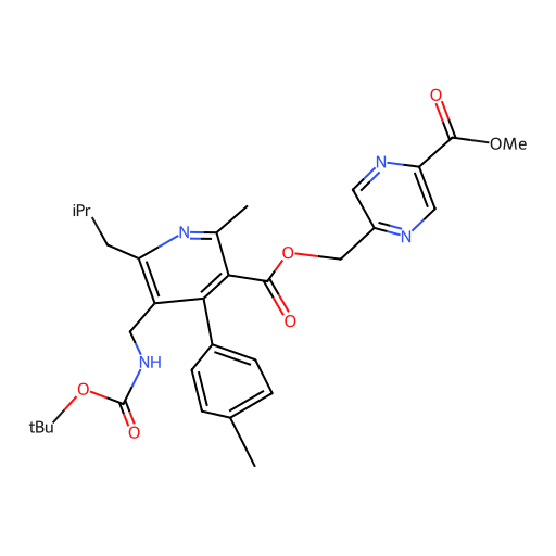 COC(=O)c1cnc(COC(=O)c2c(C)nc(CC(C)C)c(CNC(=O)OC(C)(C)C)c2-c2ccc(C)cc2)cn1